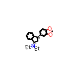 CCN(CC)[C@H]1C[C@H](c2ccc3c(c2)OCO3)c2ccccc21